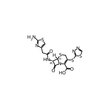 Nc1nc(CC(=O)N[C@@H]2C(=O)N3C(C(=O)O)=C(Sc4nncs4)CS[C@@H]23)cs1